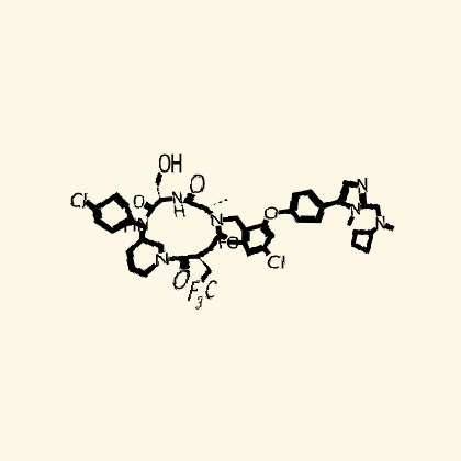 C[C@H]1C(=O)N[C@@H](CO)C(=O)N[C@@]2(Cc3ccc(Cl)cc3)CCCN(C2)C(=O)[C@H](CC(F)(F)F)CC(=O)N1Cc1c(F)cc(Cl)cc1Oc1ccc(-c2cnc(CN(C)C3CCC3)n2C)cc1